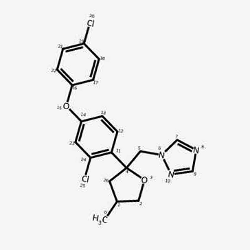 CC1COC(Cn2cncn2)(c2ccc(Oc3ccc(Cl)cc3)cc2Cl)C1